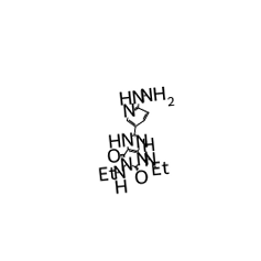 CCNn1c(=O)c2[nH]c(-c3ccc(NN)nc3)nc2n(NCC)c1=O